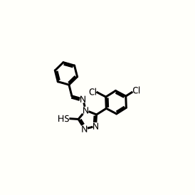 Sc1nnc(-c2ccc(Cl)cc2Cl)n1N=Cc1ccccc1